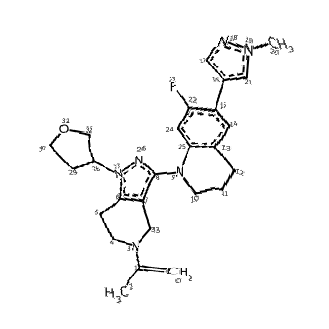 C=C(C)N1CCc2c(c(N3CCCc4cc(-c5cnn(C)c5)c(F)cc43)nn2C2CCOC2)C1